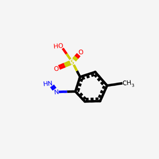 Cc1ccc(N=N)c(S(=O)(=O)O)c1